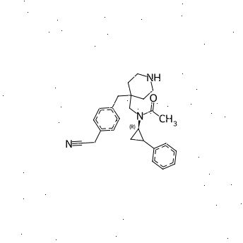 CC(=O)N(CC1(Cc2ccc(CC#N)cc2)CCNCC1)[C@@H]1CC1c1ccccc1